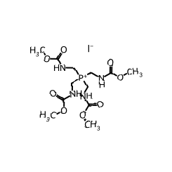 COC(=O)NC[P+](CNC(=O)OC)(CNC(=O)OC)CNC(=O)OC.[I-]